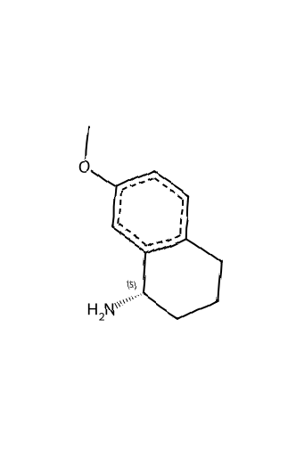 COc1ccc2c(c1)[C@@H](N)CCC2